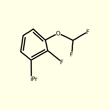 CC(C)c1cccc(OC(F)F)c1F